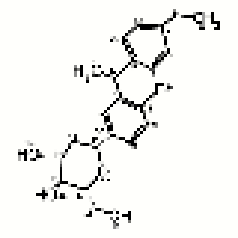 CCc1ccc(C(C)c2cc([C@H]3C[C@@H](O)[C@H](O)[C@@H](CO)O3)ccc2F)cc1